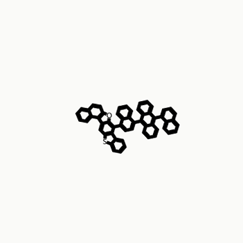 c1ccc2c(-c3c4ccccc4c(-c4ccc(-c5c6oc7ccc8ccccc8c7c6cc6sc7ccccc7c56)c5ccccc45)c4ccccc34)cccc2c1